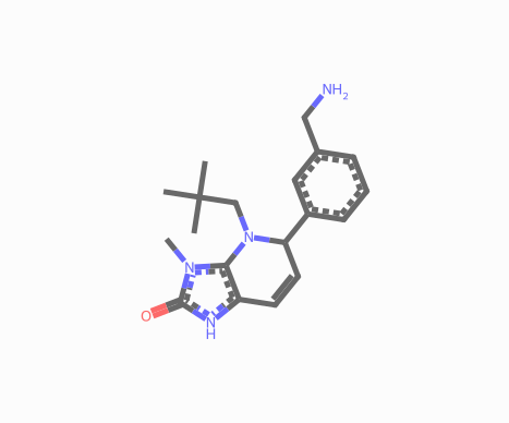 Cn1c2c([nH]c1=O)C=CC(c1cccc(CN)c1)N2CC(C)(C)C